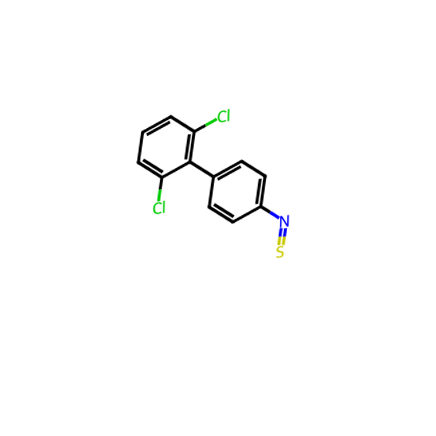 S=Nc1ccc(-c2c(Cl)cccc2Cl)cc1